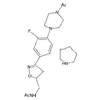 C1CCNCC1.CC(=O)NCC1CC(c2ccc(N3CCN(C(C)=O)CC3)c(F)c2)=NO1